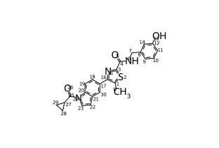 Cc1sc(C(=O)NCc2cccc(O)c2)nc1-c1ccc2c(ccn2C(=O)C2CC2)c1